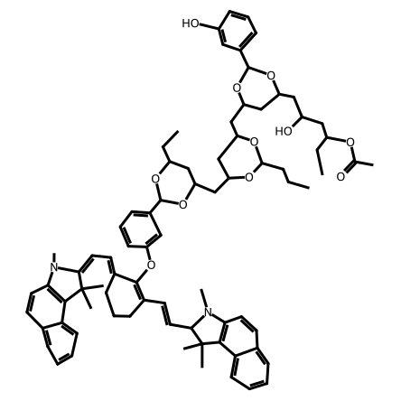 CCCC1OC(CC2CC(CC)OC(c3cccc(OC4=C(/C=C/C5N(C)c6ccc7ccccc7c6C5(C)C)CCC/C4=C\C=C4\N(C)c5ccc6ccccc6c5C4(C)C)c3)O2)CC(CC2CC(CC(O)CC(CC)OC(C)=O)OC(c3cccc(O)c3)O2)O1